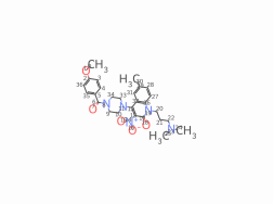 COc1ccc(C(=O)N2CCN(c3c([N+](=O)[O-])c(=O)n(CCCN(C)C)c4ccc(C)cc34)CC2)cc1